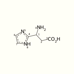 NC(CC(=O)O)c1ncc[nH]1